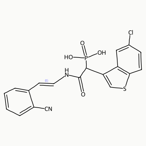 N#Cc1ccccc1/C=C/NC(=O)C(c1csc2ccc(Cl)cc12)P(=O)(O)O